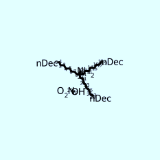 CCCCCCCCCCCCCCCCCCC(N)(CCCCCCCCCCCCCCCCCC)CCCCCCCCCCCCCCCCCC.O=[N+]([O-])O